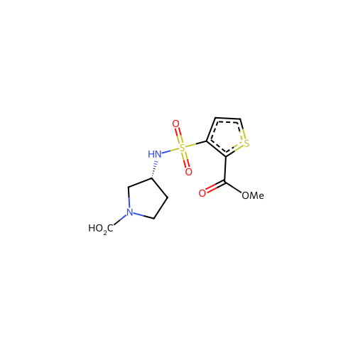 COC(=O)c1sccc1S(=O)(=O)N[C@@H]1CCN(C(=O)O)C1